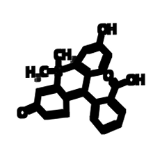 CS1(C)C2=CC(=O)C=CC2=C(c2ccccc2C(=O)O)c2ccc(O)cc21